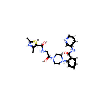 Cc1nc(C)c(C(=O)NCC(=O)N2CCN(c3ccccc3C(=O)Nc3cccnc3)CC2)s1